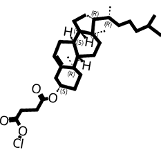 CC(C)CCC[C@@H](C)[C@H]1CC[C@H]2[C@@H]3CC=C4C[C@@H](OC(=O)CCC(=O)OCl)CC[C@]4(C)[C@H]3CC[C@]12C